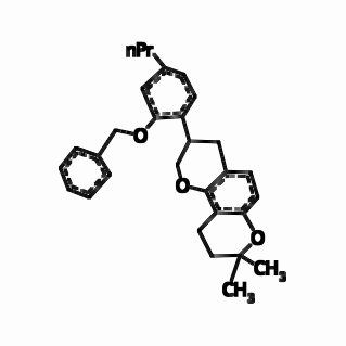 CCCc1ccc(C2COc3c(ccc4c3CCC(C)(C)O4)C2)c(OCc2ccccc2)c1